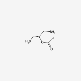 BCC(CB)OC(=O)I